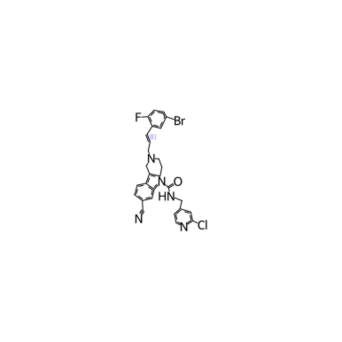 N#Cc1ccc2c3c(n(C(=O)NCc4ccnc(Cl)c4)c2c1)CCN(C/C=C/c1cc(Br)ccc1F)C3